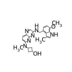 COc1ccc(CNc2cnc3ccc(N(C)C4CC(O)C4)nc3n2)c2c(C)c[nH]c12